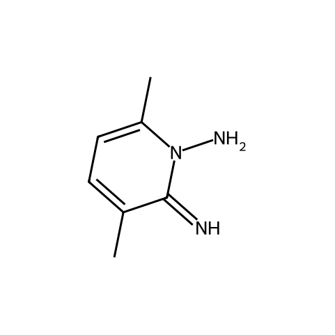 Cc1ccc(C)n(N)c1=N